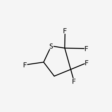 FC1CC(F)(F)C(F)(F)S1